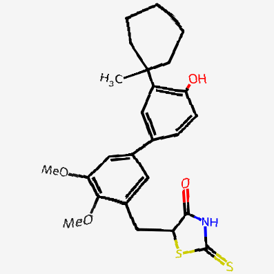 COc1cc(-c2ccc(O)c(C3(C)CCCCC3)c2)cc(CC2SC(=S)NC2=O)c1OC